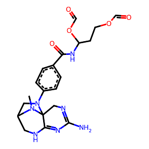 CN1C2CNC3=NC(N)=NCC31N(c1ccc(C(=O)NC(CCOC=O)OC=O)cc1)C2